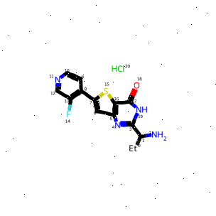 CCC(N)c1nc2cc(-c3ccncc3F)sc2c(=O)[nH]1.Cl